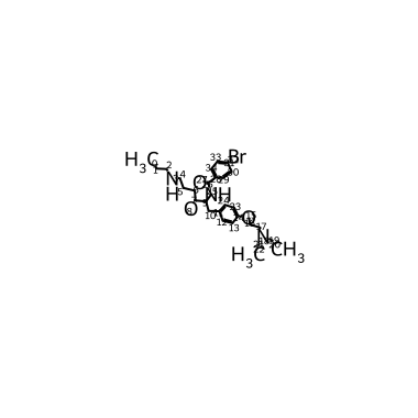 CCCNCCCC(=O)C(Cc1ccc(OCCN(CC)CC)cc1)NC(=O)c1ccc(Br)cc1